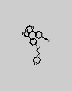 N#CC1CC=C(c2nccn3ncc(-c4ccc(OCCN5CCOCC5)cc4)c23)CC1